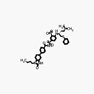 CCCCn1c(=O)[nH]c2cc(-c3ccc(C(=O)NS(=O)(=O)c4ccc(N[C@H](CCN(C)C)CSc5ccccc5)c([N+](=O)[O-])c4)cc3)ccc21